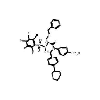 CN([C@H](COCc1ccccc1)C(=O)N(Cc1ccc(C2CCCCC2)cc1)c1ccc(C(=O)O)cc1)S(=O)(=O)c1c(F)c(F)c(F)c(F)c1F